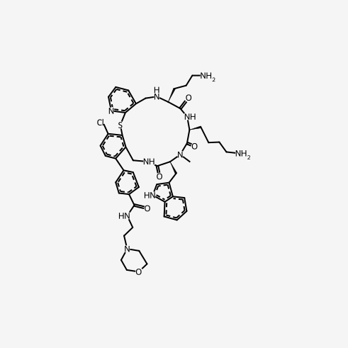 CN1C(=O)[C@H](CCCCN)NC(=O)[C@H](CCCN)NCc2cccnc2Sc2c(Cl)ccc(-c3ccc(C(=O)NCCN4CCOCC4)cc3)c2CNC(=O)[C@@H]1Cc1c[nH]c2ccccc12